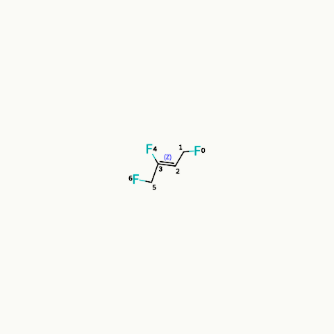 FC/C=C(\F)CF